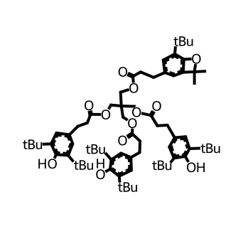 CC(C)(C)c1cc(CCC(=O)OCC(COC(=O)CCc2cc(C(C)(C)C)c(O)c(C(C)(C)C)c2)(COC(=O)CCc2cc(C(C)(C)C)c(O)c(C(C)(C)C)c2)COC(=O)CCc2cc(C(C)(C)C)c3c(c2)C(C)(C)O3)cc(C(C)(C)C)c1O